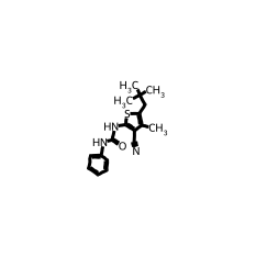 Cc1c(CC(C)(C)C)sc(NC(=O)Nc2ccccc2)c1C#N